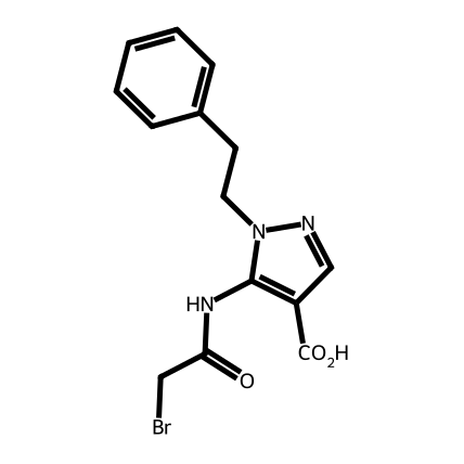 O=C(CBr)Nc1c(C(=O)O)cnn1CCc1ccccc1